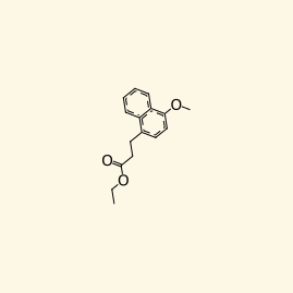 CCOC(=O)CCc1ccc(OC)c2ccccc12